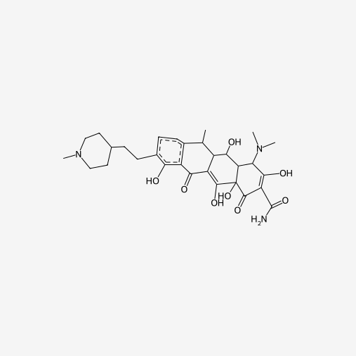 CC1c2ccc(CCC3CCN(C)CC3)c(O)c2C(=O)C2=C(O)C3(O)C(=O)C(C(N)=O)=C(O)C(N(C)C)C3C(O)C21